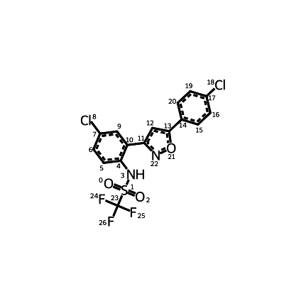 O=S(=O)(Nc1ccc(Cl)cc1-c1cc(-c2ccc(Cl)cc2)on1)C(F)(F)F